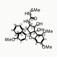 COc1ccc([C@@]23Oc4cc(OC)cc(OC)c4[C@]2(O)[C@H](O)[C@H](NC(=O)NSC)[C@H]3c2ccccc2)cc1